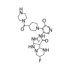 NC1NN2CC(F)CNC2C1C(=O)Nc1cncc(Cl)c1N1CCC(C(=O)N2CCNCC2)CC1